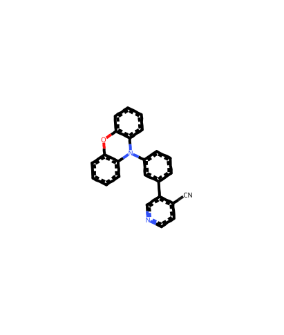 N#Cc1ccncc1-c1cccc(N2c3ccccc3Oc3ccccc32)c1